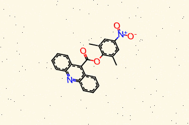 Cc1cc([N+](=O)[O-])cc(C)c1OC(=O)c1c2ccccc2nc2ccccc12